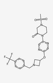 CS(=O)(=O)N1CCN(c2cnc(OC3CN(Cc4ccc(C(F)(F)F)cc4)C3)cn2)C(=O)C1